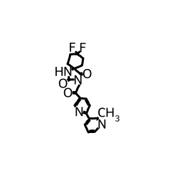 Cc1ncccc1-c1ccc(C(=O)CN2C(=O)NC3(CCC(F)(F)CC3)C2=O)cn1